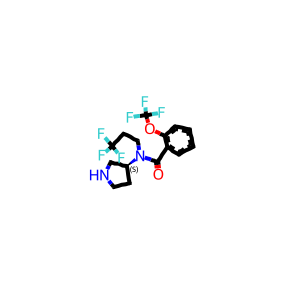 O=C(c1ccccc1OC(F)(F)F)N(CCC(F)(F)F)[C@H]1CCNC1